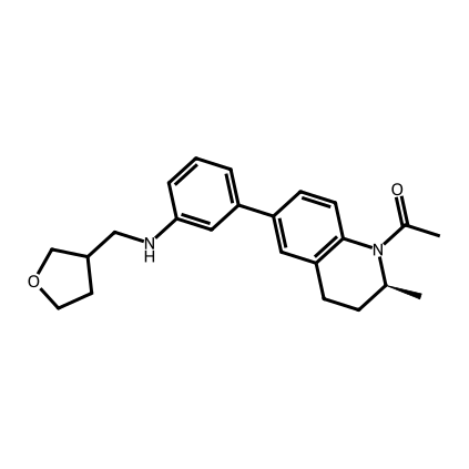 CC(=O)N1c2ccc(-c3cccc(NCC4CCOC4)c3)cc2CC[C@@H]1C